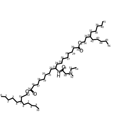 CCCCCC(CCCCC)CCOC(=O)CCCCCCCC(CCCCCCCC(=O)OCCC(CCCCC)CCCCC)NC(=O)CN(C)CC